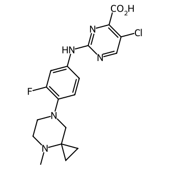 CN1CCN(c2ccc(Nc3ncc(Cl)c(C(=O)O)n3)cc2F)CC12CC2